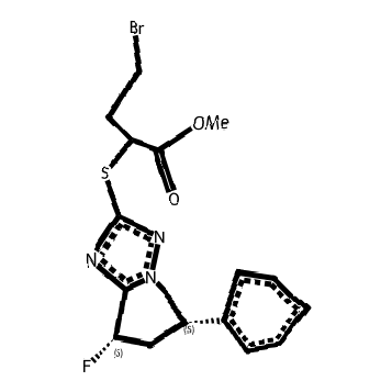 COC(=O)C(CCBr)Sc1nc2n(n1)[C@H](c1ccccc1)C[C@@H]2F